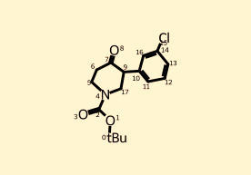 CC(C)(C)OC(=O)N1CCC(=O)C(c2cccc(Cl)c2)C1